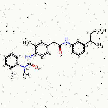 Cc1cc(CC(=O)Nc2cccc(C(C)CC(=O)O)c2)ccc1NC(=O)N(C)c1ccccc1C